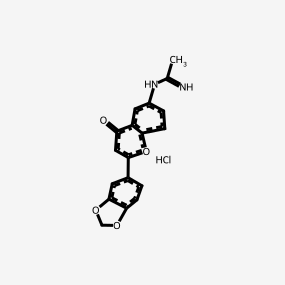 CC(=N)Nc1ccc2oc(-c3ccc4c(c3)OCO4)cc(=O)c2c1.Cl